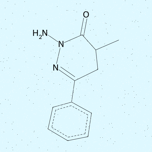 CC1CC(c2ccccc2)=NN(N)C1=O